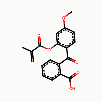 C=C(C)C(=O)Oc1cc(OC)ccc1C(=O)c1ccccc1C(=O)O